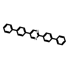 c1ccc(-c2ccc(-c3cnc(-c4ccc(-c5ccccc5)cc4)nc3)cc2)cc1